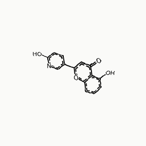 O=c1cc(-c2ccc(O)nc2)oc2cccc(O)c12